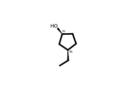 CC[C@@H]1CC[C@H](O)C1